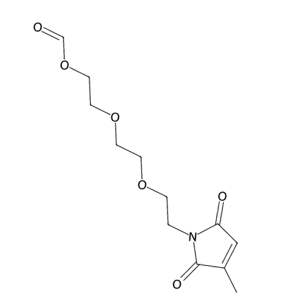 CC1=CC(=O)N(CCOCCOCCOC=O)C1=O